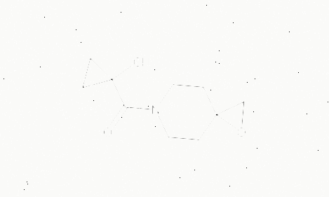 CC1(C(=O)N2CCC3(CC2)CO3)CC1